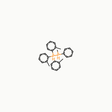 Cc1ccccc1[PH](c1ccccc1C)(c1ccccc1C)[PH](C)(C)c1ccccc1